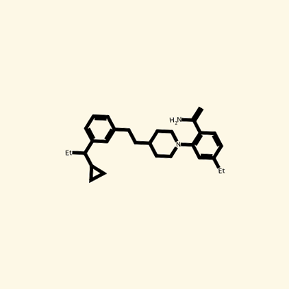 C=C(N)c1ccc(CC)cc1N1CCC(CCc2cccc(C(CC)C3CC3)c2)CC1